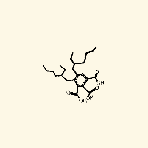 CCCCC(CC)Cc1cc(C(=O)O)c(C(=O)O)c(C(=O)O)c1CC(CC)CCCC